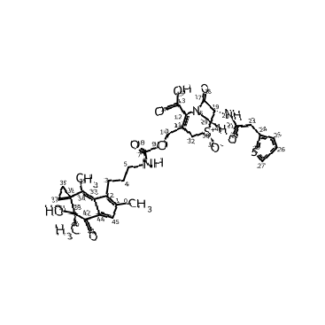 CC1=C(CCCNC(=O)OCC2=C(C(=O)O)N3C(=O)[C@H](NC(=O)Cc4cccs4)[C@@H]3[S@@+]([O-])C2)C2=C(C)C3(CC3)[C@@](C)(O)C(=O)C2=C1